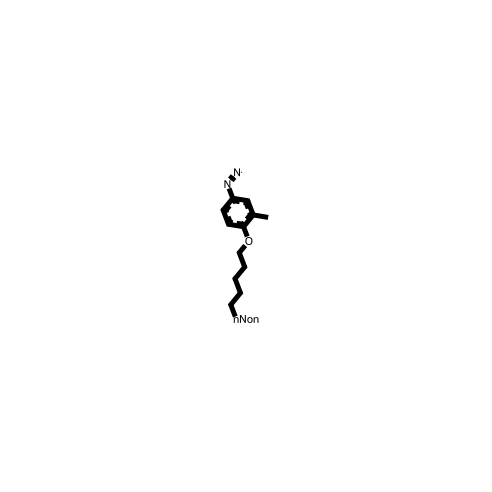 CCCCCCCCCCCCCCOc1ccc(N=[N])cc1C